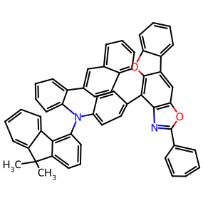 CC1(C)c2ccccc2-c2c(N(c3ccc(-c4c5nc(-c6ccccc6)oc5cc5c4oc4ccccc45)cc3)c3ccccc3-c3ccc4ccccc4c3)cccc21